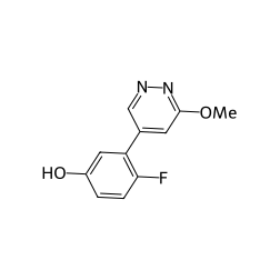 COc1cc(-c2cc(O)ccc2F)cnn1